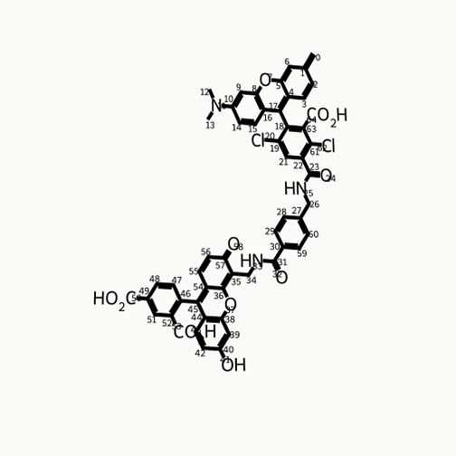 C=c1ccc2c(c1)Oc1cc(N(C)C)ccc1C=2c1c(Cl)cc(C(=O)NCc2ccc(C(=O)NCc3c4oc5cc(O)ccc5c(-c5ccc(C(=O)O)cc5C(=O)O)c-4ccc3=O)cc2)c(Cl)c1C(=O)O